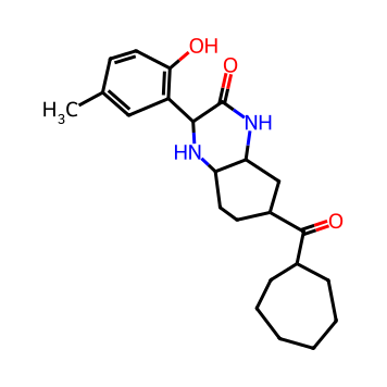 Cc1ccc(O)c(C2NC3CCC(C(=O)C4CCCCCC4)CC3NC2=O)c1